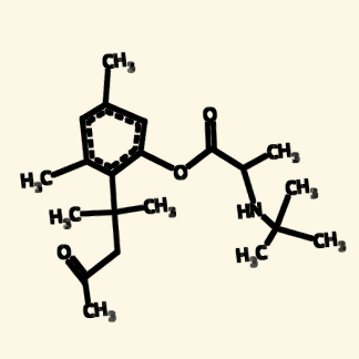 CC(=O)CC(C)(C)c1c(C)cc(C)cc1OC(=O)C(C)NC(C)(C)C